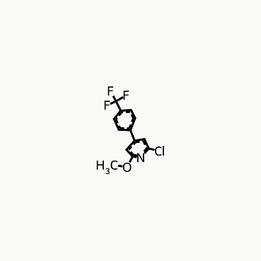 COc1cc(-c2ccc(C(F)(F)F)cc2)cc(Cl)n1